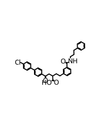 O=C(CC(CCc1cccc(C(=O)NCCCc2ccccc2)c1)C(=O)O)c1ccc(-c2ccc(Cl)cc2)cc1